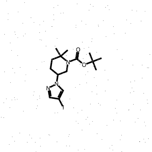 CC(C)(C)OC(=O)N1CC(n2cc(I)cn2)CCC1(C)C